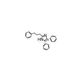 c1ccc(CCCC2=N[C@H](c3ccccc3)[C@H](c3ccccc3)N2)cc1